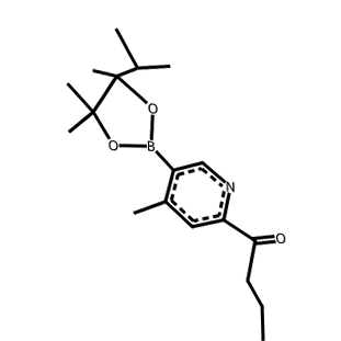 CCCC(=O)c1cc(C)c(B2OC(C)(C)C(C)(C(C)C)O2)cn1